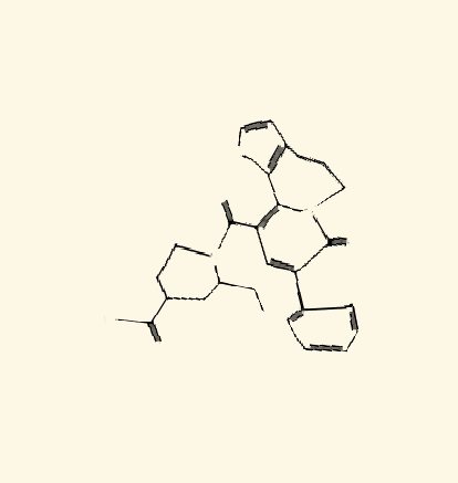 CCC1CC(C(=O)O)CCN1C(=O)c1cc(-c2ccccc2)c(=O)n2c1-c1sccc1CC2